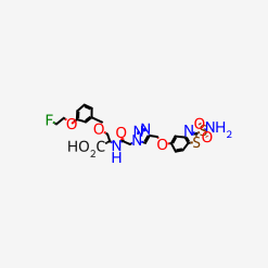 NS(=O)(=O)c1nc2cc(OCc3cn(CC(=O)NC(COCc4cccc(OCCF)c4)C(=O)O)nn3)ccc2s1